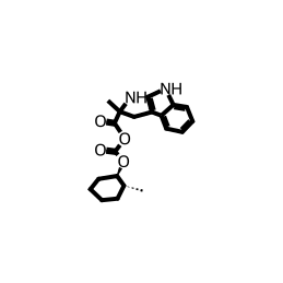 C[C@@H]1CCCC[C@H]1OC(=O)OC(=O)C(C)(N)Cc1c[nH]c2ccccc12